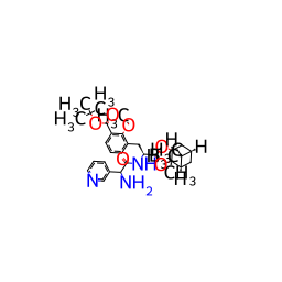 COc1c(C[C@H](NC(=O)C(N)c2cccnc2)B2O[C@@H]3C[C@@H]4C[C@@H](C4(C)C)[C@]3(C)O2)cccc1C(=O)OC(C)(C)C